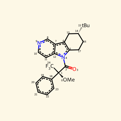 CO[C@@](C(=O)n1c2c(c3cnccc31)C[C@H](C(C)(C)C)CC2)(c1ccccc1)C(F)(F)F